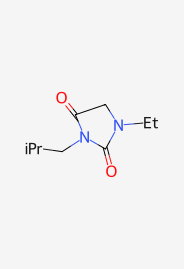 CCN1CC(=O)N(CC(C)C)C1=O